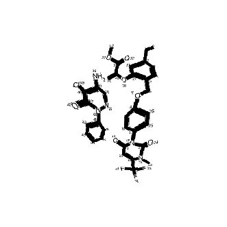 CCc1ccc(COc2ccc(-n3c(=O)cc(C(F)(F)F)n(C)c3=O)cc2)c(OC(C)C(=O)OC)c1.Nc1cnn(-c2ccccc2)c(=O)c1Cl